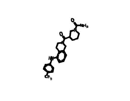 NC(=O)N1CCCC(C(=O)N2CCc3c(cccc3Nc3ccc(C(F)(F)F)cc3)C2)C1